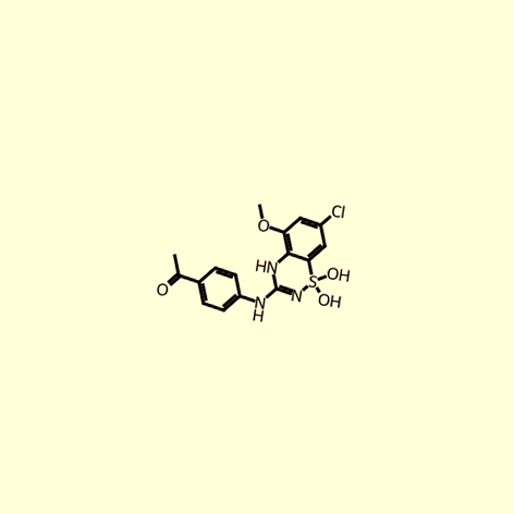 COc1cc(Cl)cc2c1NC(Nc1ccc(C(C)=O)cc1)=NS2(O)O